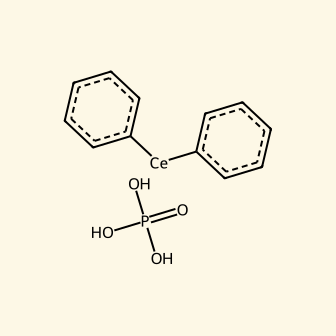 O=P(O)(O)O.c1cc[c]([Ce][c]2ccccc2)cc1